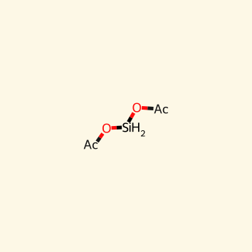 CC(=O)O[SiH2]OC(C)=O